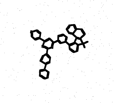 CC1(C)c2cccc(-c3cccc(-c4cc(-c5ccncc5)nc(-c5ccc(-c6ccccc6)cc5)n4)c3)c2-c2c1ccc1ccccc21